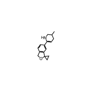 CC1CC=C(c2ccc3c(c2)C2(CC2)OC3)NC1